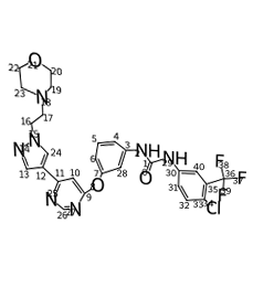 O=C(Nc1cccc(Oc2cc(-c3cnn(CCN4CCOCC4)c3)ncn2)c1)Nc1ccc(Cl)c(C(F)(F)F)c1